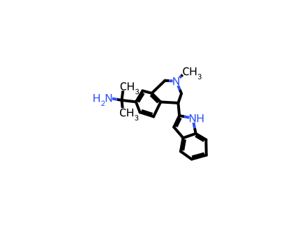 CN1Cc2cc(C(C)(C)N)ccc2C(c2cc3ccccc3[nH]2)C1